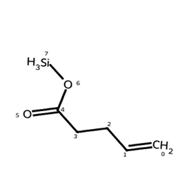 C=CCCC(=O)O[SiH3]